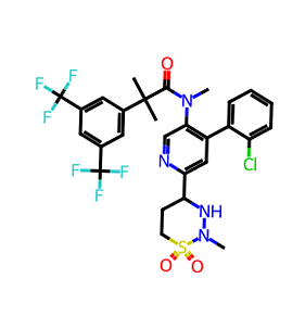 CN(C(=O)C(C)(C)c1cc(C(F)(F)F)cc(C(F)(F)F)c1)c1cnc(C2CCS(=O)(=O)N(C)N2)cc1-c1ccccc1Cl